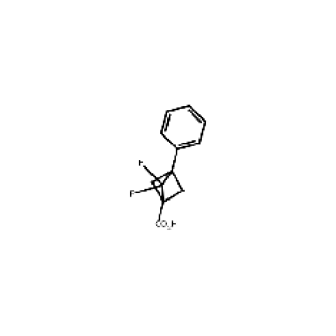 O=C(O)C12CC(c3ccccc3)(C1)C2(F)F